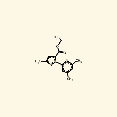 CCOC(=O)c1cc(C)nn1-c1cc(C)cc(C)n1